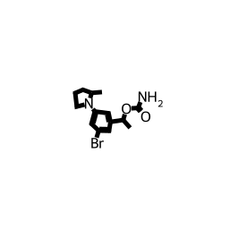 CC(OC(N)=O)c1cc(Br)cc(N2CCCC2C)c1